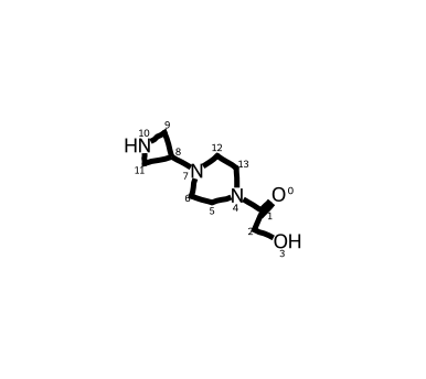 O=C(CO)N1CCN(C2CNC2)CC1